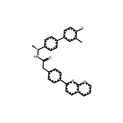 Cc1cc(-c2ccc([C@H](C)NC(=O)Cc3ccc(-c4ccc5cccnc5n4)cc3)cc2)ccc1F